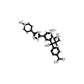 CCC(CC)c1ccc(C(O)(c2cncc(-c3noc(C4CCN(C(C)=O)CC4)n3)c2)C2(C)CNC2)cc1.Cl